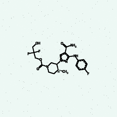 C[C@@H]1CCN(C(=O)OCC(F)(F)CO)CC1n1cc(C(N)=O)c(Nc2ccc(F)cc2)n1